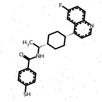 CC(NC(=O)c1ccc(S)cc1)[C@H]1CC[C@@H](c2ccnc3ccc(F)cc32)CC1